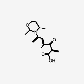 C=C(C(=O)O)C(=O)/C(C)=C/C(=C)N1C(C)OCC[C@H]1C